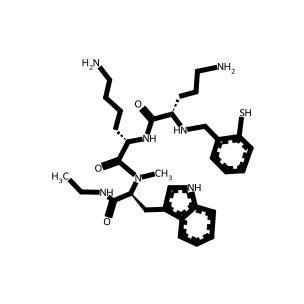 CCNC(=O)[C@H](Cc1c[nH]c2ccccc12)N(C)C(=O)[C@H](CCCCN)NC(=O)[C@H](CCCN)NCc1ccccc1S